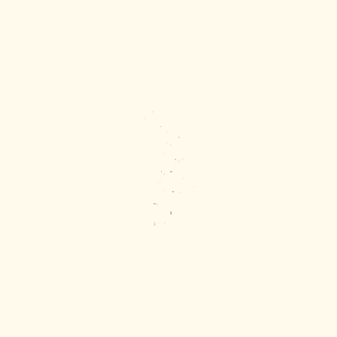 CC(C)OC(=O)c1cn2cc(C34COC(C)(C3)C4)nc2c(Cl)c1OC(C)C